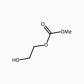 COC(=O)OCCO